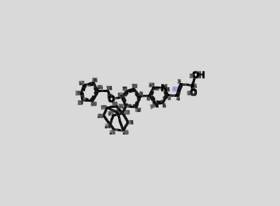 O=C(O)/C=C/c1cnc(-c2ccc(OCc3ccccc3)c(C34CC5CC(CC(C5)C3)C4)c2)cn1